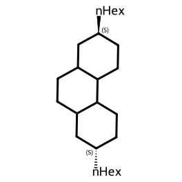 CCCCCC[C@H]1CCC2C(CCC3C[C@@H](CCCCCC)CCC32)C1